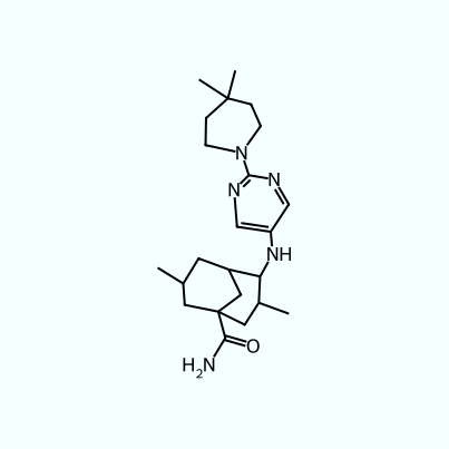 CC1CC2CC(C(N)=O)(C1)CC(C)C2Nc1cnc(N2CCC(C)(C)CC2)nc1